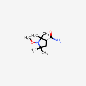 CON1C(C)(C)C[C@@H](C(N)=O)C1(C)C